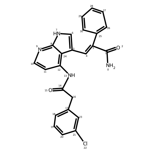 NC(=O)/C(=C/c1c[nH]c2nccc(NC(=O)Cc3cccc(Cl)c3)c12)c1ccccc1